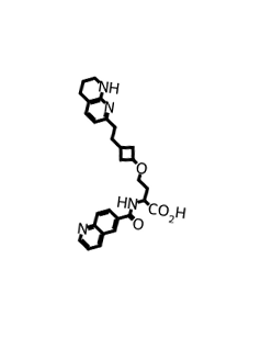 O=C(NC(CCOC1CC(CCc2ccc3c(n2)NCCC3)C1)C(=O)O)c1ccc2ncccc2c1